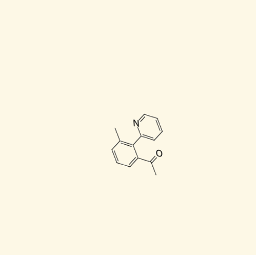 CC(=O)c1cccc(C)c1-c1ccccn1